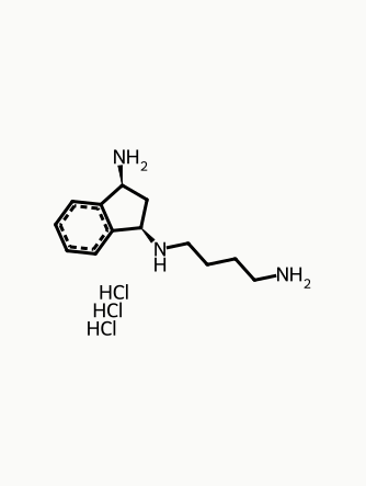 Cl.Cl.Cl.NCCCCN[C@@H]1C[C@H](N)c2ccccc21